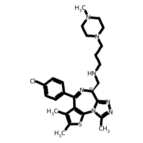 Cc1sc2c(c1C)C(c1ccc(Cl)cc1)=N[C@@H](CNCCCN1CCN(C)CC1)c1nnc(C)n1-2